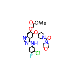 COC(=O)COc1cc2ncnc(Nc3ccc(F)c(Cl)c3)c2cc1OC1CCN(C(=O)N2CCOCC2)CC1